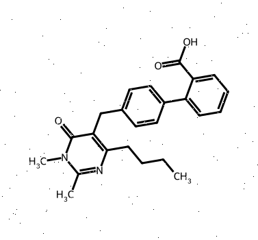 CCCCc1nc(C)n(C)c(=O)c1Cc1ccc(-c2ccccc2C(=O)O)cc1